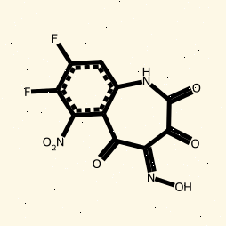 O=C1Nc2cc(F)c(F)c([N+](=O)[O-])c2C(=O)C(=NO)C1=O